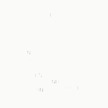 CC(NC(=N)NCc1cc(C(C)c2ccc(-c3ccccc3)c(F)c2)no1)C(=O)O